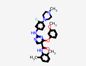 COc1cccc(Oc2nc(Nc3ccc(N4CCN(C)CC4)c(F)c3)ncc2C(=O)Nc2c(C)cccc2C)c1